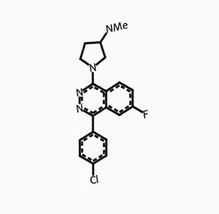 CNC1CCN(c2nnc(-c3ccc(Cl)cc3)c3cc(F)ccc23)C1